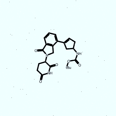 CC(C)(C)OC(=O)NC1CC=C(c2cccc3c2CN(C2CCC(=O)NC2=O)C3=O)C1